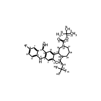 Cc1cc(Nc2ccc(F)cc2)c(C=N)cc1C1CN(C(=O)OC(C)(C)C)CCCN1CCC(F)(F)F